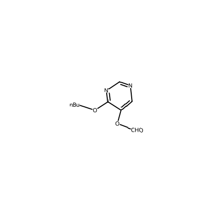 CCCCOc1ncncc1OC=O